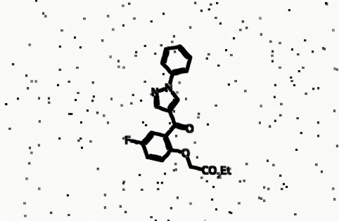 CCOC(=O)COc1ccc(F)cc1C(=O)c1cnn(-c2ccccc2)c1